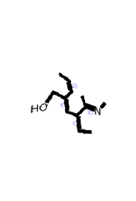 C\C=C/C(=C\C(=C\C)C(\C)=N\C)CO